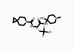 CCCC(F)(F)C[C@H](NC(=O)N1CCC2(CC1)CC2)C(=O)NC1(C#N)CCN(C)CC1